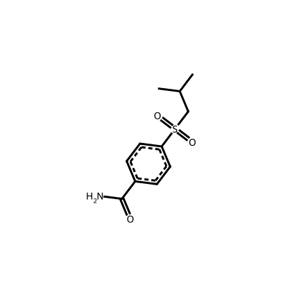 CC(C)CS(=O)(=O)c1ccc(C(N)=O)cc1